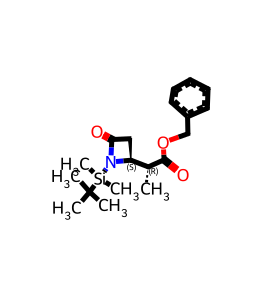 C[C@@H](C(=O)OCc1ccccc1)[C@@H]1CC(=O)N1[Si](C)(C)C(C)(C)C